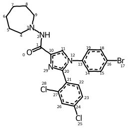 O=C(NN1CCCCCC1)c1cn(-c2ccc(Br)cc2)c(-c2ccc(Cl)cc2Cl)n1